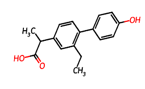 CCc1cc(C(C)C(=O)O)ccc1-c1ccc(O)cc1